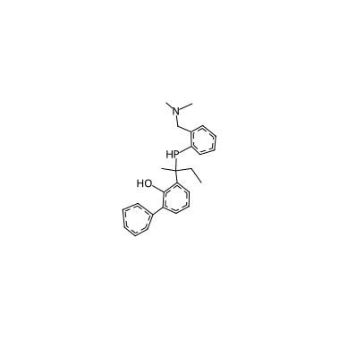 CCC(C)(Pc1ccccc1CN(C)C)c1cccc(-c2ccccc2)c1O